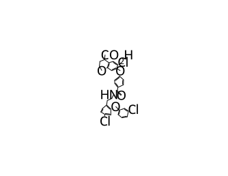 O=C(NCCc1ccc(Cl)cc1Oc1cccc(Cl)c1)c1ccc(Oc2cc3c(cc2Cl)C(C(=O)O)CCO3)cc1